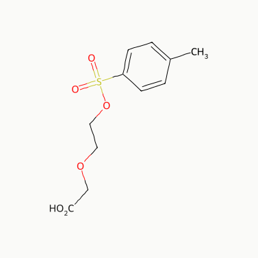 Cc1ccc(S(=O)(=O)OCCOCC(=O)O)cc1